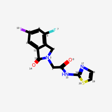 O=C(CN1Cc2c(F)cc(I)cc2C1=O)Nc1nccs1